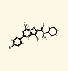 CN(C(=O)c1nn2c(C(F)(F)F)cc(-c3ccc(Br)cc3)nc2c1Br)C1CCCCC1